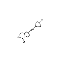 O=C1NCCc2cc(C#Cc3ccc(F)cc3)ccc21